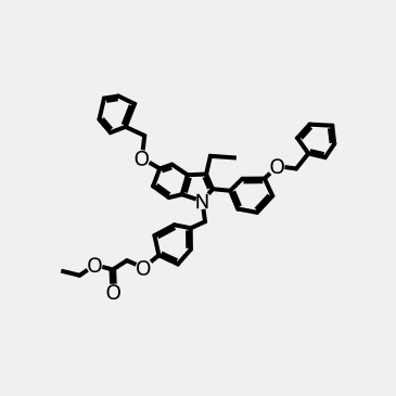 CCOC(=O)COc1ccc(Cn2c(-c3cccc(OCc4ccccc4)c3)c(CC)c3cc(OCc4ccccc4)ccc32)cc1